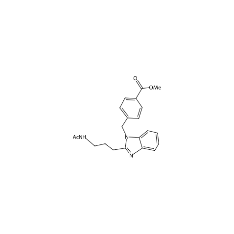 COC(=O)c1ccc(Cn2c(CCCNC(C)=O)nc3ccccc32)cc1